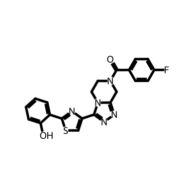 O=C(c1ccc(F)cc1)N1CCn2c(nnc2-c2csc(-c3ccccc3O)n2)C1